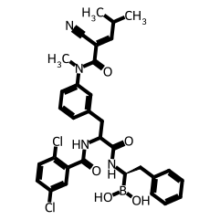 CC(C)C=C(C#N)C(=O)N(C)c1cccc(CC(NC(=O)c2cc(Cl)ccc2Cl)C(=O)N[C@@H](Cc2ccccc2)B(O)O)c1